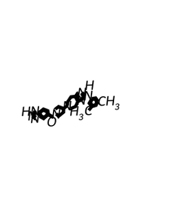 Cc1cc(C)cc(Nc2ncc3c(n2)CCN(C2CCN(C(=O)c4ccc5[nH]nnc5c4)CC2)CC3)c1